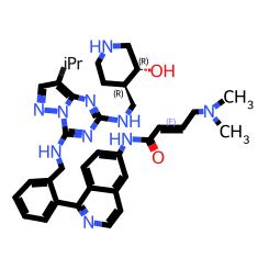 CC(C)c1cnn2c(NCc3ccccc3-c3nccc4cc(NC(=O)/C=C/CN(C)C)ccc34)nc(NC[C@H]3CCNC[C@@H]3O)nc12